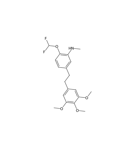 CNc1cc(CCc2cc(OC)c(OC)c(OC)c2)ccc1OC(F)F